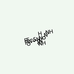 O=C(N1CCc2sc(-c3nc(Nc4cccc(N5CCNCC5)c4)nc4[nH]ccc34)cc2C1)C(F)(F)F